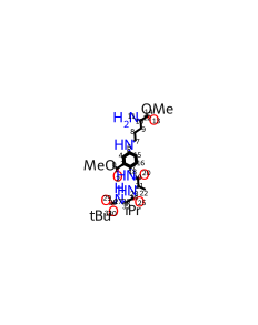 COC(=O)c1cc(NCCCC(N)C(=O)OC)ccc1NC(=O)C(C)NC(=O)C(NC(=O)OC(C)(C)C)C(C)C